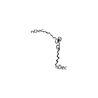 CCCCCCCCCCCCCCCCCCOCC(=O)OCCCCCCCCCCCCCCCCCC